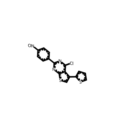 O=Nc1ccc(-c2nc(Cl)c3c(-c4cccs4)csc3n2)cc1